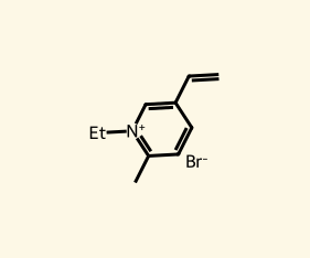 C=Cc1ccc(C)[n+](CC)c1.[Br-]